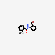 CC(=O)Oc1ccccc1C(=O)Nc1ccccc1CBr